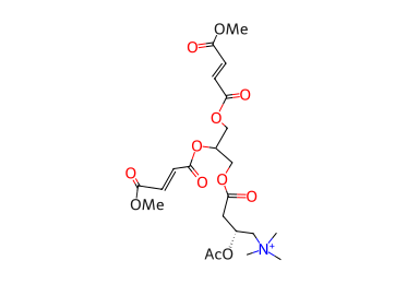 COC(=O)/C=C/C(=O)OCC(COC(=O)C[C@H](C[N+](C)(C)C)OC(C)=O)OC(=O)/C=C/C(=O)OC